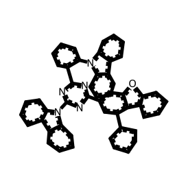 c1ccc(-c2cc(-c3nc(-c4ccccc4-n4c5ccccc5c5ccccc54)nc(-n4c5ccccc5c5ccccc54)n3)cc3oc4ccccc4c23)cc1